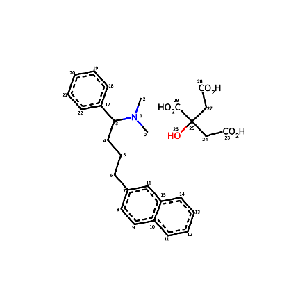 CN(C)C(CCCc1ccc2ccccc2c1)c1ccccc1.O=C(O)CC(O)(CC(=O)O)C(=O)O